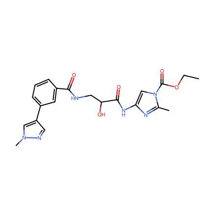 CCOC(=O)n1cc(NC(=O)C(O)CNC(=O)c2cccc(-c3cnn(C)c3)c2)nc1C